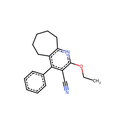 CCOc1nc2c(c(-c3ccccc3)c1C#N)CCCCC2